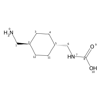 NC[C@H]1CC[C@H](CNC(=O)O)CC1